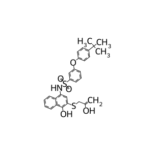 C=C(O)CSc1cc(NS(=O)(=O)c2cccc(Oc3ccc(C(C)(C)C)cc3)c2)c2ccccc2c1O